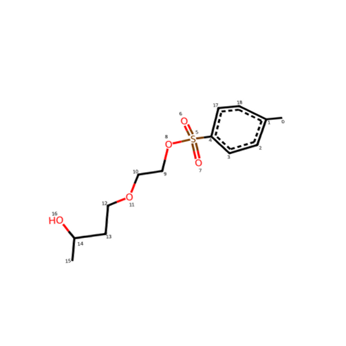 Cc1ccc(S(=O)(=O)OCCOCCC(C)O)cc1